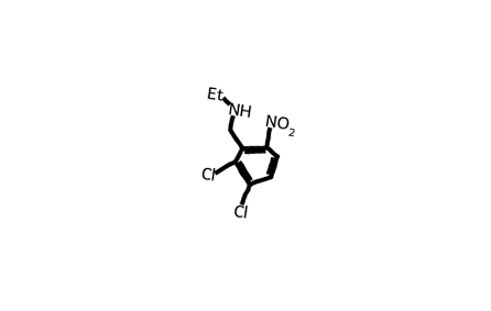 CCNCc1c([N+](=O)[O-])ccc(Cl)c1Cl